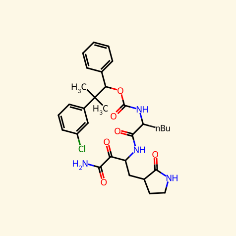 CCCCC(NC(=O)OC(c1ccccc1)C(C)(C)c1cccc(Cl)c1)C(=O)NC(CC1CCNC1=O)C(=O)C(N)=O